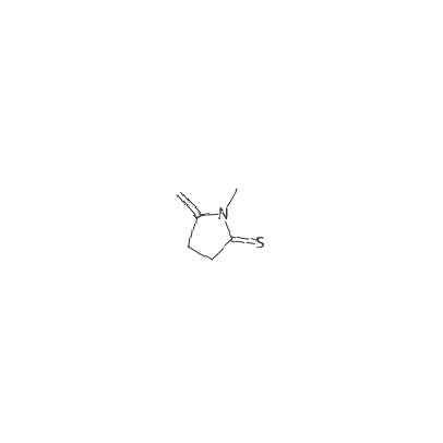 C=C1CCC(=S)N1C